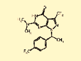 CC(c1ccc(C(F)(F)F)cc1)n1nc(C(F)(F)F)c2c(=O)[nH]c(N(C)C)nc21